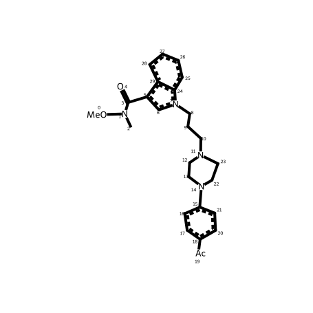 CON(C)C(=O)c1cn(CCCN2CCN(c3ccc(C(C)=O)cc3)CC2)c2ccccc12